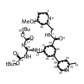 COc1ccnc(CNC(=O)c2cc(CN/C(=N\C(=O)OC(C)(C)C)NC(=O)OC(C)(C)C)cc(-c3ccnc(C)c3)c2)c1